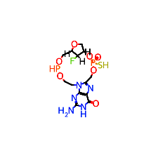 Nc1nc2c(nc3n2CCOPOC[C@H]2OC[C@H](OP(=O)(S)OC3)[C@@H]2F)c(=O)[nH]1